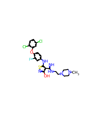 CN1CCN(CCNC(=N)c2c(O)nsc2Nc2ccc(Oc3cc(Cl)ccc3Cl)c(F)c2)CC1